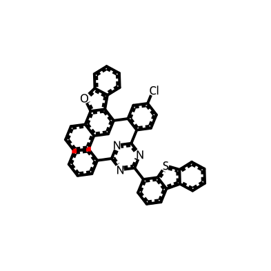 Clc1ccc(-c2nc(-c3ccccc3)nc(-c3cccc4c3sc3ccccc34)n2)c(-c2cc3ccccc3c3oc4ccccc4c23)c1